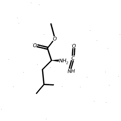 COC(=O)[C@@H](N)CC(C)C.N=C=O